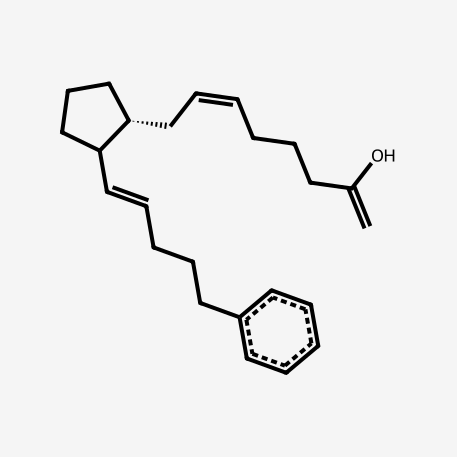 C=C(O)CCC/C=C\C[C@H]1CCCC1/C=C/CCCc1ccccc1